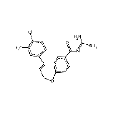 NC(N)=NC(=O)c1ccc2c(c1)C(c1ccc(Cl)c(C(F)(F)F)c1)=CCO2